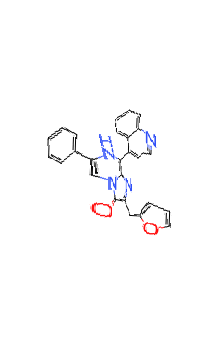 O=c1c(Cc2ccco2)nc2c(-c3ccnc4ccccc34)[nH]c(-c3ccccc3)cn1-2